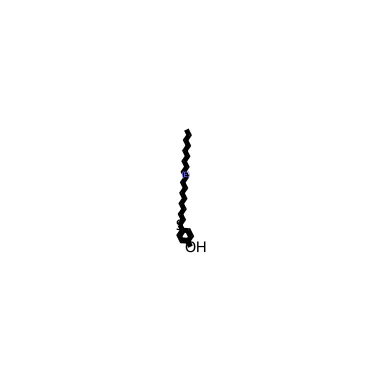 CCCCCCCC/C=C/CCCCCCCCSc1ccc(O)cc1